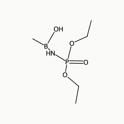 CCOP(=O)(NB(C)O)OCC